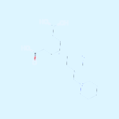 NC[C@@H](CC[C@@H](CCB(O)O)CCC(=O)O)CN1CCCCC1